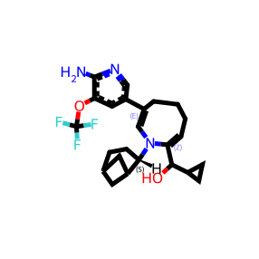 Nc1ncc(/C2=C/N([C@H]3CCC4CC3C4)/C(C(O)C3CC3)=C\CCC2)cc1OC(F)(F)F